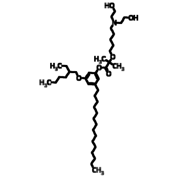 CCCCCCCCCCCCCCCc1cc(OCC(CC)CCCC)cc(OC(=O)C(C)(C)OCCCCCN(CCO)CCO)c1